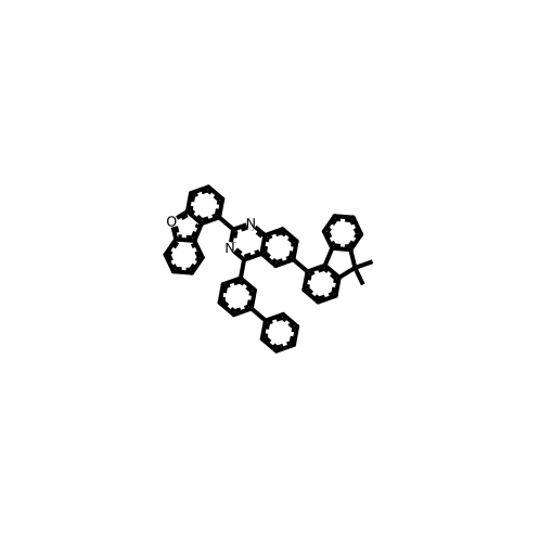 CC1(C)c2ccccc2-c2c(-c3ccc4nc(-c5cccc6oc7ccccc7c56)nc(-c5cccc(-c6ccccc6)c5)c4c3)cccc21